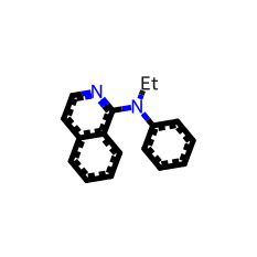 CCN(c1ccccc1)c1nccc2ccccc12